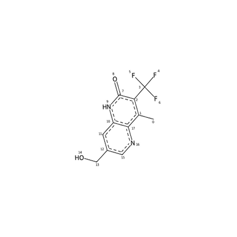 Cc1c(C(F)(F)F)c(=O)[nH]c2cc(CO)cnc12